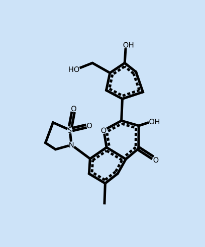 Cc1cc(N2CCCS2(=O)=O)c2oc(-c3ccc(O)c(CO)c3)c(O)c(=O)c2c1